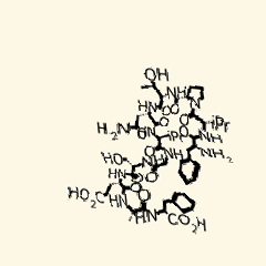 CC(C)[C@H](NC(=O)[C@H](CC(N)=O)NC(=O)[C@@H](NC(=O)[C@@H]1CCCN1C(=O)[C@@H](NC(=O)[C@@H](N)Cc1ccccc1)C(C)C)[C@@H](C)O)C(=O)NCC(=O)N[C@@H](CO)C(=O)N[C@@H](CCC(=O)O)C(=O)N[C@@H](C)C(=O)N[C@@H](Cc1ccccc1)C(=O)O